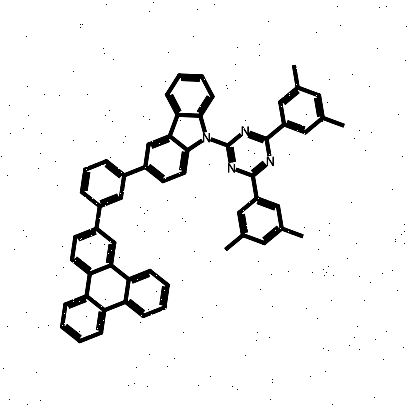 Cc1cc(C)cc(-c2nc(-c3cc(C)cc(C)c3)nc(-n3c4ccccc4c4cc(-c5cccc(-c6ccc7c8ccccc8c8ccccc8c7c6)c5)ccc43)n2)c1